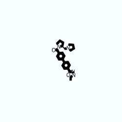 Cc1nnc(-c2ccc(-c3ccc(C(=O)N4CCC[C@H]4CN4CCCC4)cc3)cc2)o1